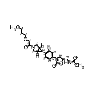 CCCCOCC(=O)N1C[C@@H]2[C@H](C1)[C@H]2c1ccc(N2C[C@H](CNC(C)=O)OC2=O)cc1F